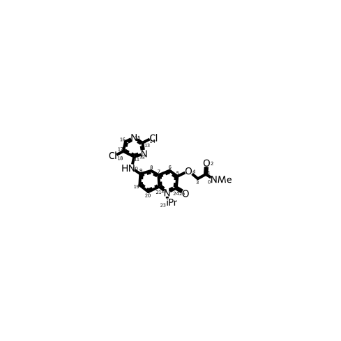 CNC(=O)COc1cc2cc(Nc3nc(Cl)ncc3Cl)ccc2n(C(C)C)c1=O